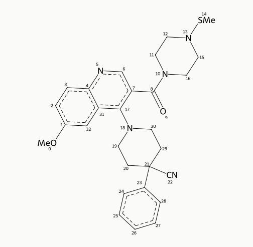 COc1ccc2ncc(C(=O)N3CCN(SC)CC3)c(N3CCC(C#N)(c4ccccc4)CC3)c2c1